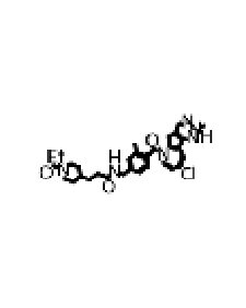 CCC(=O)N1CCC(CCC(=O)NCc2ccc(C(=O)N3C=CC(Cl)=CC4=C3CC3=C4NN(C)N=C3)c(C)c2)CC1